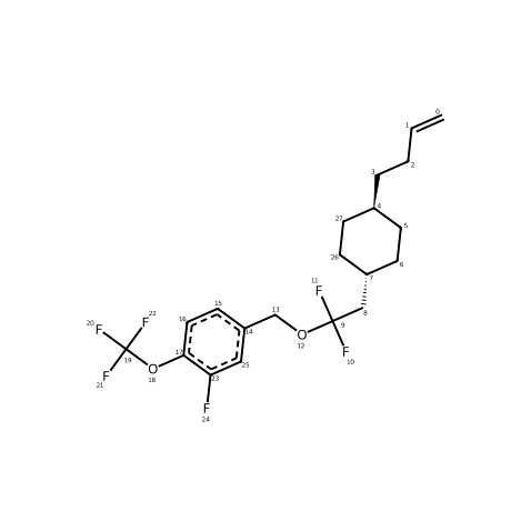 C=CCC[C@H]1CC[C@H](CC(F)(F)OCc2ccc(OC(F)(F)F)c(F)c2)CC1